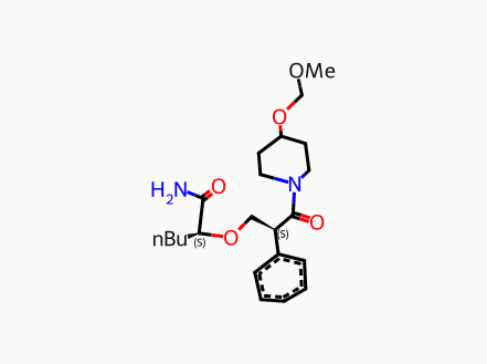 CCCC[C@H](OC[C@@H](C(=O)N1CCC(OCOC)CC1)c1ccccc1)C(N)=O